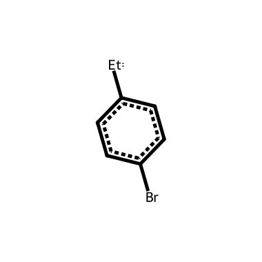 C[C]c1ccc(Br)cc1